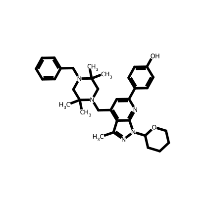 Cc1nn(C2CCCCO2)c2nc(-c3ccc(O)cc3)cc(CN3CC(C)(C)N(Cc4ccccc4)CC3(C)C)c12